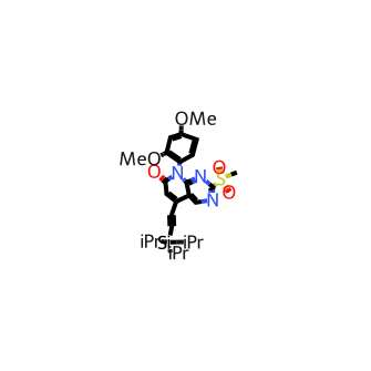 COc1ccc(-n2c(=O)cc(C#C[Si](C(C)C)(C(C)C)C(C)C)c3cnc(S(C)(=O)=O)nc32)c(OC)c1